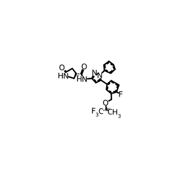 C[C@@H](OCc1cc(-c2cc(NC(=O)[C@@H]3CNC(=O)C3)nn2-c2ccccc2)ccc1F)C(F)(F)F